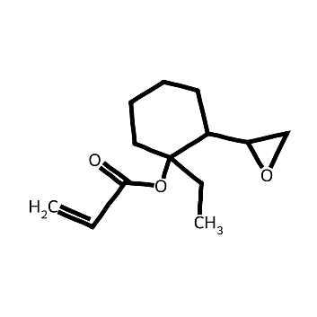 C=CC(=O)OC1(CC)CCCCC1C1CO1